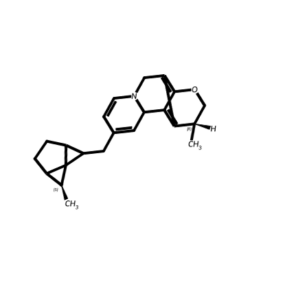 C[C@H]1COC2=C3CN4C=CC(CC5C6CCC7[C@H](C)C657)=CC4C2=C31